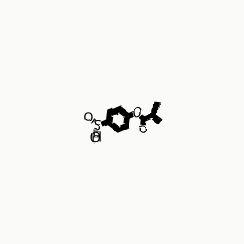 C=C(C)C(=O)Oc1ccc([SH](=O)=O)cc1